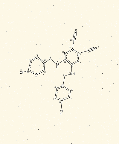 N#Cc1nc(NCc2ccc(Cl)cc2)c(NCc2ccc(Cl)cc2)nc1C#N